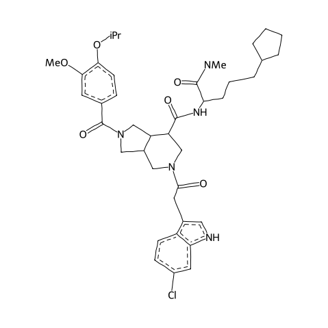 CNC(=O)C(CCCC1CCCC1)NC(=O)C1CN(C(=O)Cc2c[nH]c3cc(Cl)ccc23)CC2CN(C(=O)c3ccc(OC(C)C)c(OC)c3)CC21